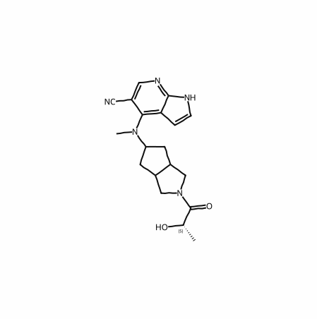 C[C@H](O)C(=O)N1CC2CC(N(C)c3c(C#N)cnc4[nH]ccc34)CC2C1